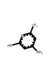 Nc1cc(O)nc(C(F)(F)F)c1